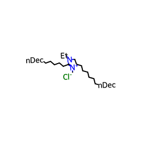 CCCCCCCCCCCCCCCCC1CN(CC)C(CCCCCCCCCCCCCCC)=[N+]1C.[Cl-]